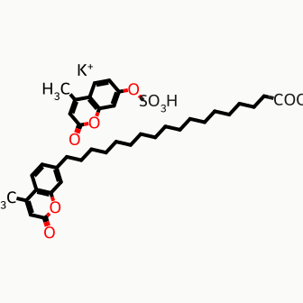 Cc1cc(=O)oc2cc(CCCCCCCCCCCCCCCCCC(=O)[O-])ccc12.Cc1cc(=O)oc2cc(OS(=O)(=O)O)ccc12.[K+]